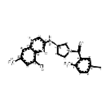 Cc1ccc(C(F)(F)F)c(C(=O)N2CC[C@@H](Nc3cnc4cc(C(F)(F)F)cc(Cl)c4n3)C2)c1